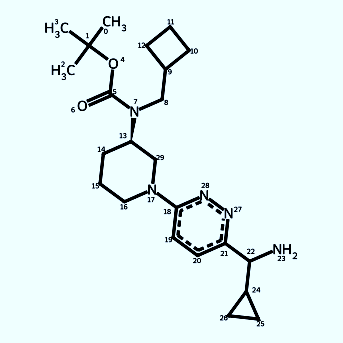 CC(C)(C)OC(=O)N(CC1CCC1)[C@@H]1CCCN(c2ccc(C(N)C3CC3)nn2)C1